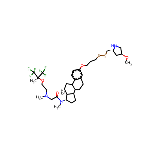 CO[C@@H]1CN[C@@H](CSSCCCOc2ccc3c(c2)CCC2C3CC[C@@]3(C)C2CC[C@@H]3N(C)C(=O)CN(C)CCOC(C)(C(F)(F)F)C(F)(F)F)C1